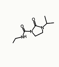 CCNC(=O)N1CCN(C(C)C)C1=O